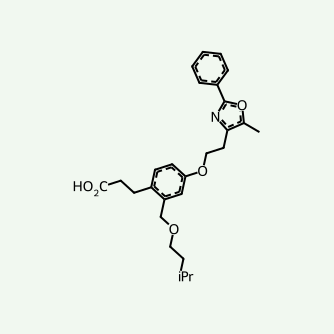 Cc1oc(-c2ccccc2)nc1CCOc1ccc(CCC(=O)O)c(COCCC(C)C)c1